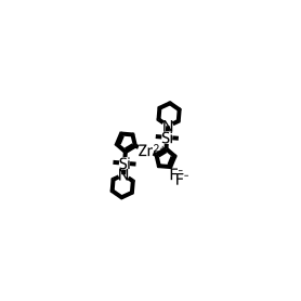 C[Si](C)(C1=[C]([Zr+2][C]2=C([Si](C)(C)N3CCCCC3)C=CC2)CC=C1)N1CCCCC1.[F-].[F-]